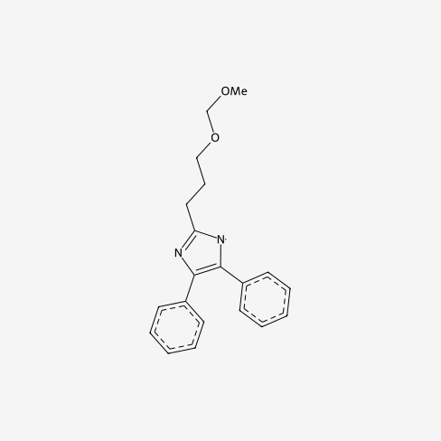 COCOCCCC1=NC(c2ccccc2)=C(c2ccccc2)[N]1